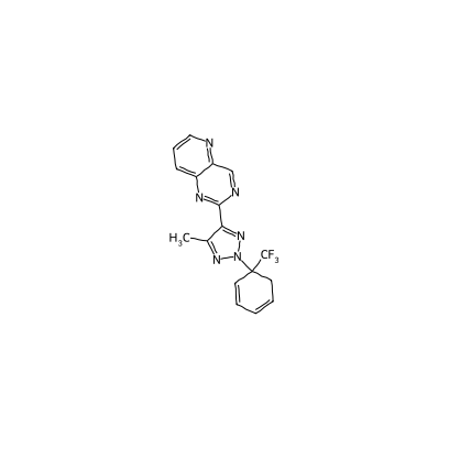 Cc1nn(C2(C(F)(F)F)C=CC=CC2)nc1-c1ncc2ncccc2n1